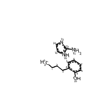 CCCCc1ccccc1O.Nc1ncc[nH]1